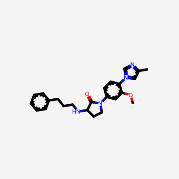 COc1cc(N2CCC(NCCCc3ccccc3)C2=O)ccc1-n1cnc(C)c1